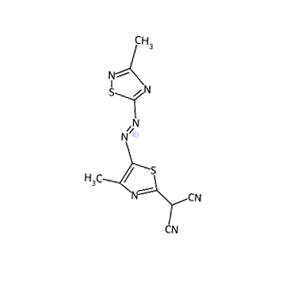 Cc1nsc(/N=N/c2sc(C(C#N)C#N)nc2C)n1